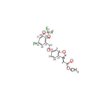 COC(=O)C[C@@H]1COc2cc(OCc3cc(F)cc4c3OC(F)(F)O4)ccc21